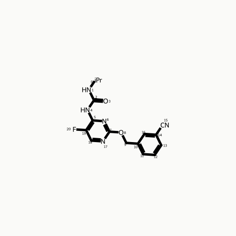 CC(C)NC(=O)Nc1nc(OCc2cccc(C#N)c2)ncc1F